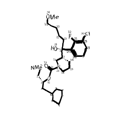 CNC[C@@H](CC1CCCCC1)OC(=O)N1CCC[C@@H]([C@@](O)(CCCCOC)c2cccc(Cl)c2F)C1